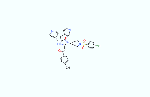 N#Cc1ccc(C(=O)C=C2NC(Cc3ccncc3)(Cc3ccncc3)C(=O)N2C2C3CN(S(=O)(=O)c4ccc(Cl)cc4)CC32)cc1